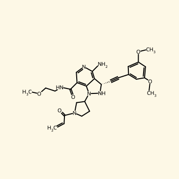 C=CC(=O)N1CCC(N2N[C@@H](C#Cc3cc(OC)cc(OC)c3)c3c(N)ncc(C(=O)NCCOC)c32)C1